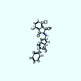 Cc1ccc(Cl)c2c1C(=O)/C(=C\c1cc3c(nc(-c4ccccc4)n3C)s1)C2=O